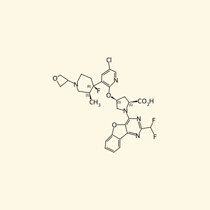 C[C@H]1CN(C2COC2)CC[C@]1(F)c1cc(Cl)cnc1O[C@H]1C[C@@H](C(=O)O)N(c2nc(C(F)F)nc3c2oc2ccccc23)C1